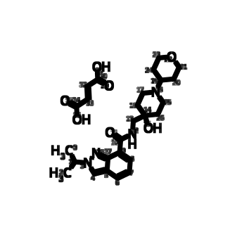 CC(C)n1cc2cccc(C(=O)NCC3(O)CCN(C4CCOCC4)CC3)c2n1.O=C(O)C=CC(=O)O